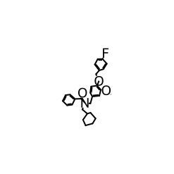 COc1cc(CN(CC2CCCCC2)C(=O)c2ccccc2)ccc1OCc1ccc(F)cc1